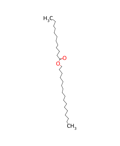 CCCCCCCCCCCCCCCCCOC(=O)CCCCCCCCCCC